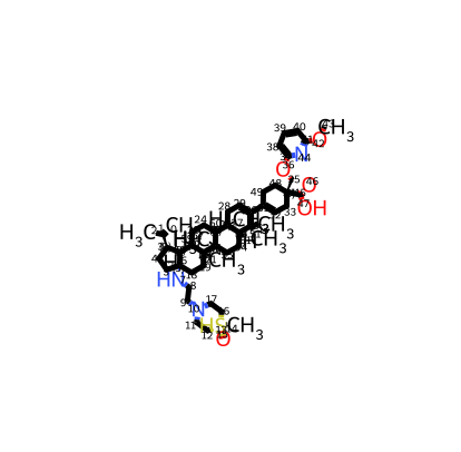 C=C(C)[C@@H]1CC[C@]2(NCCN3CC[SH](C)(=O)CC3)CC[C@]3(C)[C@H](CC[C@@H]4[C@@]5(C)CC=C(C6=CC[C@@](COc7cccc(OC)n7)(C(=O)O)CC6)C(C)(C)[C@@H]5CC[C@]43C)[C@@H]12